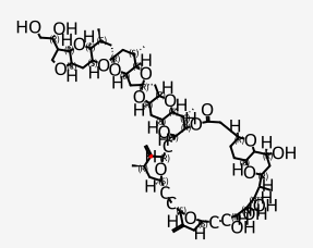 C=C1C[C@@H]2CC[C@@H](O)[C@H](O)[C@H](O)C(C)[C@H]3C[C@@H](O)C4O[C@H](CC[C@@H]4O3)CC(=O)O[C@@H]3[C@@H](C)[C@@H]4O[C@@H]5C[C@@]6(C[C@@H]7O[C@]8(C[C@H](C)[C@@H]9O[C@@H]%10C([C@@H](O)CO)CO[C@@H]%10C[C@@H]9O8)C[C@H](C)[C@@H]7O6)O[C@@H]5C[C@@H]4O[C@H]3C[C@H]3O[C@@H](CC[C@@H]1O2)C[C@@H](C)C3=C